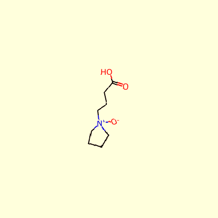 O=C(O)CCC[N+]1([O-])CCCC1